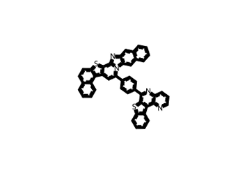 c1ccc2cc3c(cc2c1)nc1c2sc4ccc5ccccc5c4c2cc(-c2ccc(-c4nc5cccnc5c5c4sc4ccccc45)cc2)n31